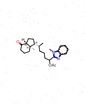 CC(=O)OC(CCCC(C)[C@H]1CC[C@H]2C(=O)CCC[C@]12C)c1nc2ccccc2n1C